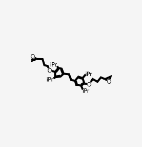 CC(C)c1cc(CCc2cc(C(C)C)c(OCCCC3CO3)c(C(C)C)c2)cc(C(C)C)c1OCCCC1CO1